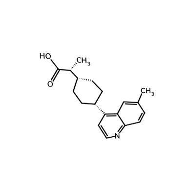 Cc1ccc2nccc([C@H]3CC[C@@H]([C@@H](C)C(=O)O)CC3)c2c1